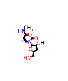 CNC(=O)/C=C\N(C=O)C1OC(CO)CC1C